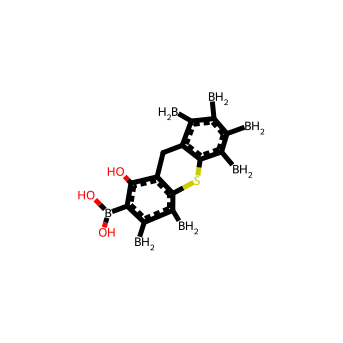 Bc1c(B)c(B)c2c(c1B)Cc1c(O)c(B(O)O)c(B)c(B)c1S2